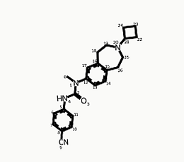 CN(C(=O)Nc1ccc(C#N)cc1)c1ccc2c(c1)CCN(C1CCC1)CC2